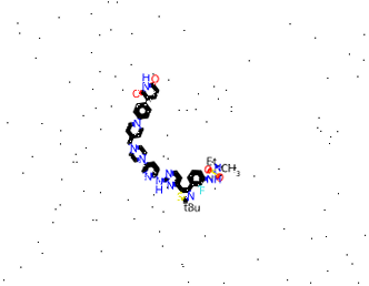 CCN(C)S(=O)(=O)Nc1cccc(-c2nc(C(C)(C)C)sc2-c2ccnc(Nc3ccc(N4CCN(CC5CCN(c6ccc([C@H]7CCC(=O)NC7=O)cc6)CC5)CC4)cn3)n2)c1F